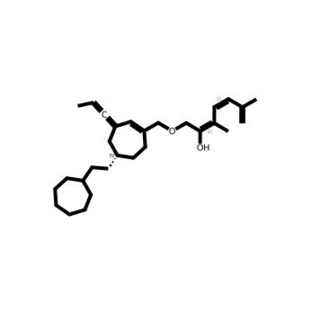 C=C(C)/C=C\C(C)=C(\O)COCC1=CC(=C=CC)C[C@@H](CCC2CCCCCC2)CC1